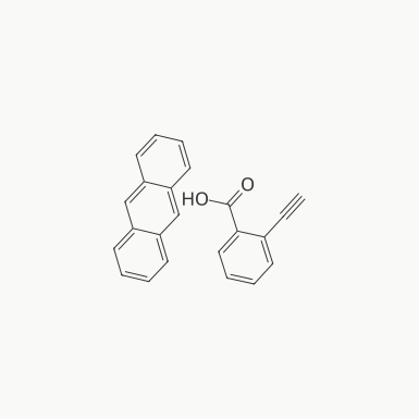 C#Cc1ccccc1C(=O)O.c1ccc2cc3ccccc3cc2c1